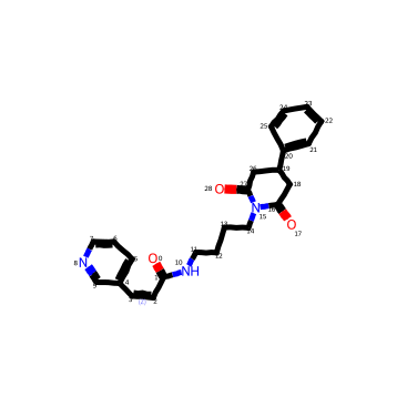 O=C(/C=C\c1cccnc1)NCCCCN1C(=O)CC(c2ccccc2)CC1=O